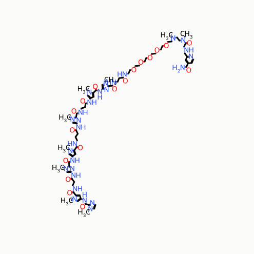 CCN(CCN(C)CCOCCOCCOCCOCCOCCNC(=O)CCNC(=O)c1nc(NC(=O)c2cc(NC(=O)CCNC(=O)c3nc(NC(=O)CCCNC(=O)c4cc(NC(=O)c5nc(NC(=O)CCNC(=O)c6cc(NC(=O)c7nccn7C)cn6C)cn5C)cn4C)cn3C)cn2C)cn1C)C(=O)CNCc1cc(C(N)=O)ccn1